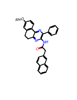 COc1ccc2c(c1)CCc1nc(NC(=O)Cc3ccc4ccccc4c3)c(-c3ccccc3)nc1-2